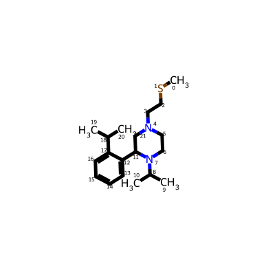 CSCCN1CCN(C(C)C)C(c2ccccc2C(C)C)C1